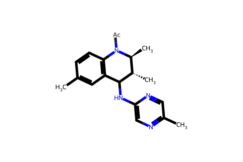 CC(=O)N1c2ccc(C)cc2C(Nc2cnc(C)cn2)[C@@H](C)[C@@H]1C